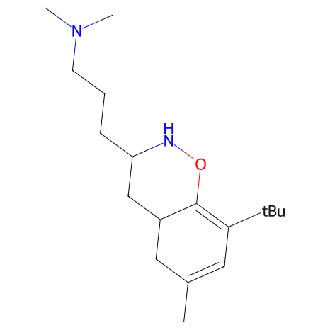 CC1=CC(C(C)(C)C)=C2ONC(CCCN(C)C)CC2C1